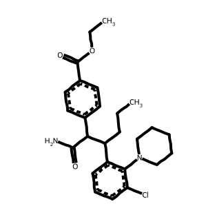 CCCC(c1cccc(Cl)c1N1CCCCC1)C(C(N)=O)c1ccc(C(=O)OCC)cc1